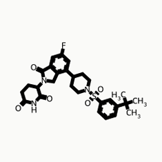 CC(C)(C)c1cccc(S(=O)(=O)N2CCC(c3cc(F)cc4c3CN(C3CCC(=O)NC3=O)C4=O)CC2)c1